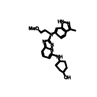 COCCN(c1ccc2c(C)n[nH]c2c1)c1nc2cccc(NC3CCC(O)CC3)n2n1